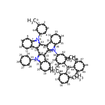 Cc1cccc(-n2c3ccccc3c3c4c(c5ccccc5n4-c4ccccc4)c4c(c5ccccc5n4-c4cc(C)c(B(c5c(C)cccc5C)c5c(C)cccc5C)c(C)c4)c32)c1